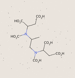 CC(CN(C(=O)O)C(CC(=O)O)C(=O)O)N(C(=O)O)C(CC(=O)O)C(=O)O